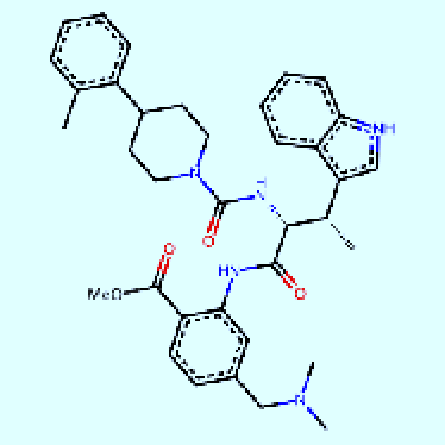 COC(=O)c1ccc(CN(C)C)cc1NC(=O)[C@H](NC(=O)N1CCC(c2ccccc2C)CC1)[C@@H](C)c1c[nH]c2ccccc12